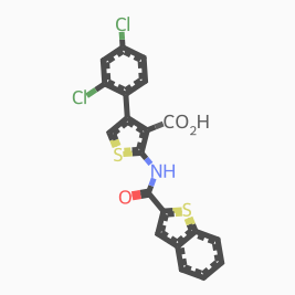 O=C(Nc1scc(-c2ccc(Cl)cc2Cl)c1C(=O)O)c1cc2ccccc2s1